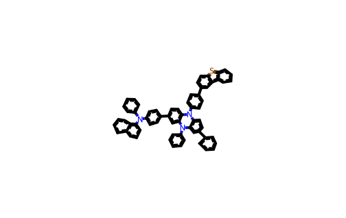 c1ccc(-c2ccc3c(c2)N(c2ccccc2)c2cc(-c4ccc(N(c5ccccc5)c5cccc6ccccc56)cc4)ccc2N3c2ccc(-c3ccc4sc5ccccc5c4c3)cc2)cc1